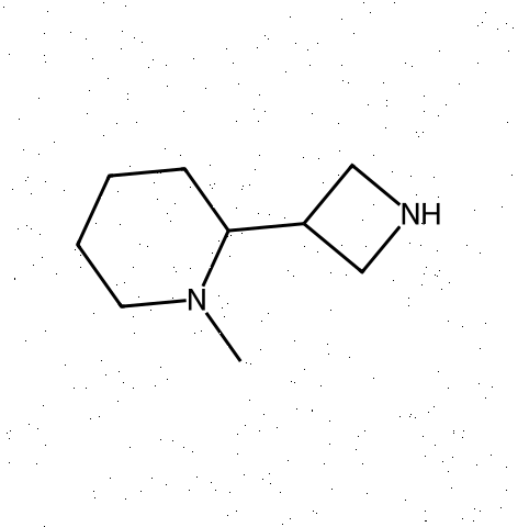 CN1CCCCC1C1CNC1